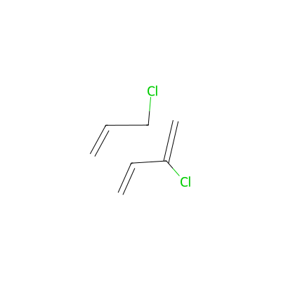 C=CC(=C)Cl.C=CCCl